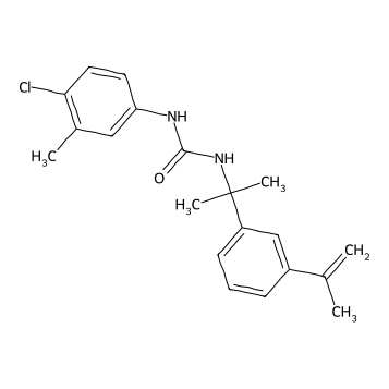 C=C(C)c1cccc(C(C)(C)NC(=O)Nc2ccc(Cl)c(C)c2)c1